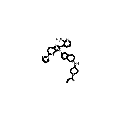 C=CC(=O)N1CCC(N[C@@H]2CCc3cc(-n4c(-c5cccnc5N)nc5ccc(-n6cccn6)nc54)ccc3C2)CC1